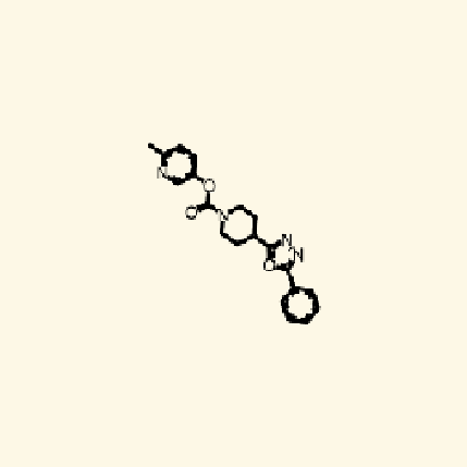 Cc1ccc(OC(=O)N2CCC(c3nnc(-c4ccccc4)o3)CC2)cn1